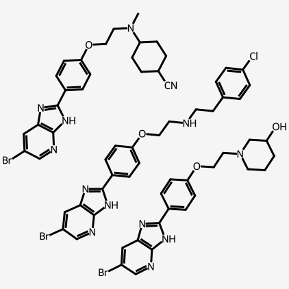 CN(CCOc1ccc(-c2nc3cc(Br)cnc3[nH]2)cc1)C1CCC(C#N)CC1.Clc1ccc(CCNCCOc2ccc(-c3nc4cc(Br)cnc4[nH]3)cc2)cc1.OC1CCCN(CCOc2ccc(-c3nc4cc(Br)cnc4[nH]3)cc2)C1